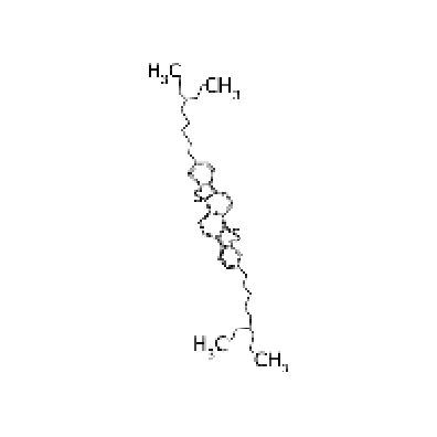 CCCC(CCC)CCCCCc1ccc2c(c1)sc1c2ccc2c1ccc1c3ccc(CCCCCC(CCC)CCC)cc3sc12